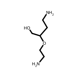 NCCOC(CO)CCN